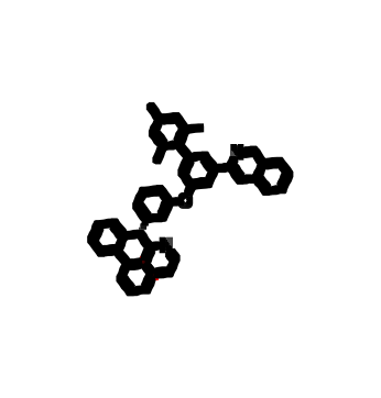 Cc1cc(C)c(-c2cc(Oc3cccc([C@H](c4ccccn4)c4ccccc4-c4ccccc4)c3)cc(-c3cc4ccccc4cn3)c2)c(C)c1